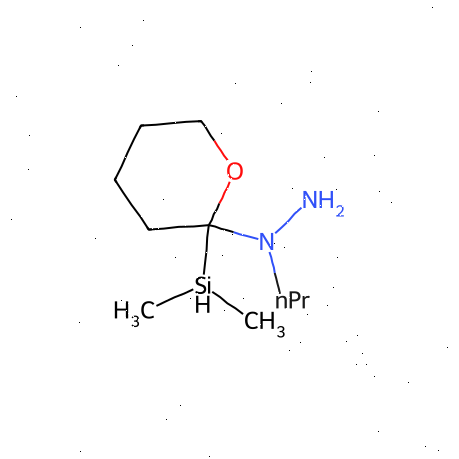 CCCN(N)C1([SiH](C)C)CCCCO1